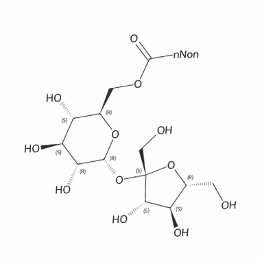 CCCCCCCCCC(=O)OC[C@H]1O[C@H](O[C@]2(CO)O[C@H](CO)[C@@H](O)[C@@H]2O)[C@H](O)[C@@H](O)[C@@H]1O